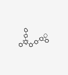 c1ccc(-c2ccc(-c3nc(-c4ccccc4)nc(-c4cccc(-c5ccc(-c6ccc7c(c6)-c6ccccc6C76CCCCC6)cc5)c4)n3)cc2)cc1